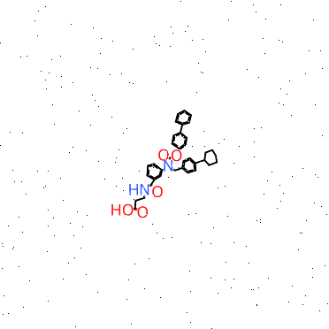 O=C(O)CCNC(=O)c1cccc(N(Cc2ccc(C3CCCCC3)cc2)C(=O)Oc2ccc(-c3ccccc3)cc2)c1